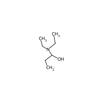 [CH2]CC(O)N(CC)CC